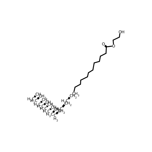 C=C.C=C.C=C.C=C.C=C.C=C.C=C.C=C.C=C.C=C.CCCCCCCCCCCC(=O)OCCO